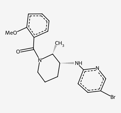 COc1ccccc1C(=O)N1CCC[C@@H](Nc2ccc(Br)cn2)[C@H]1C